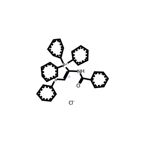 O=C(N/C(=C/Sc1ccccc1)[P+](c1ccccc1)(c1ccccc1)c1ccccc1)c1ccccc1.[Cl-]